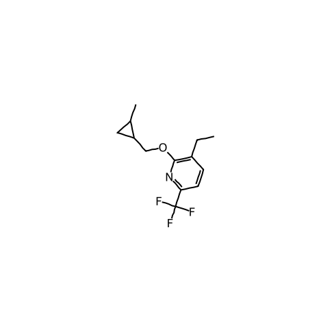 CCc1ccc(C(F)(F)F)nc1OCC1CC1C